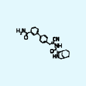 N#C[C@H](Cc1ccc(-c2cccc(C(N)=O)c2)cc1)NC(=O)[C@H]1NCC2CCCC1C2